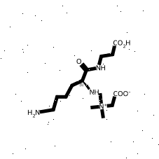 C[N+](C)(C)CC(=O)[O-].NCCCC[C@H](N)C(=O)NCCC(=O)O